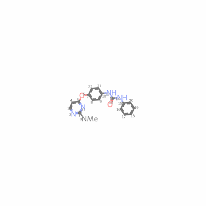 CNc1nccc(Oc2ccc(NC(=O)Nc3ccccc3)cc2)n1